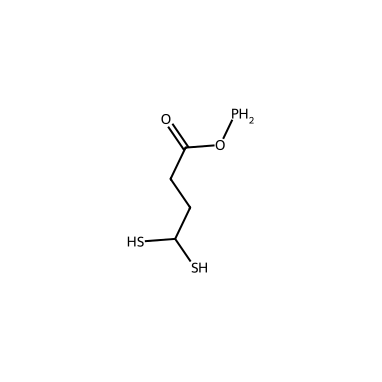 O=C(CCC(S)S)OP